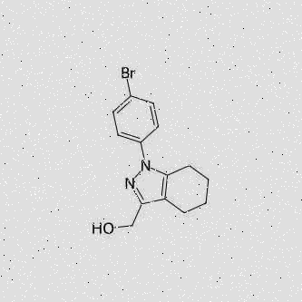 OCc1nn(-c2ccc(Br)cc2)c2c1CCCC2